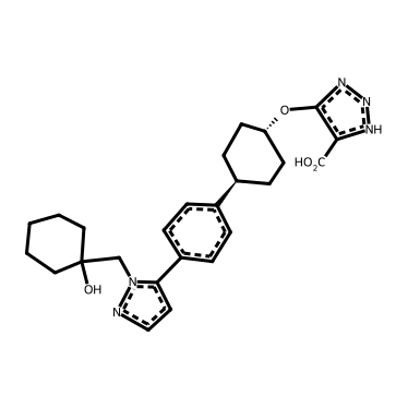 O=C(O)c1[nH]nnc1O[C@H]1CC[C@H](c2ccc(-c3ccnn3CC3(O)CCCCC3)cc2)CC1